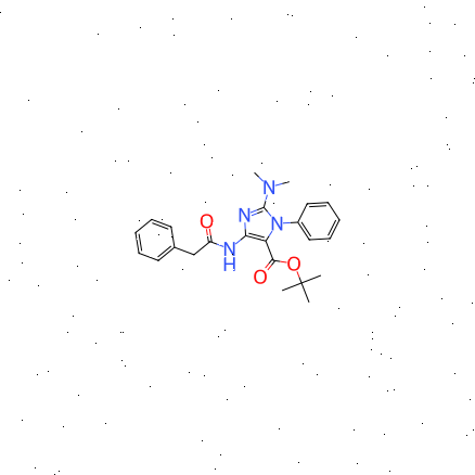 CN(C)c1nc(NC(=O)Cc2ccccc2)c(C(=O)OC(C)(C)C)n1-c1ccccc1